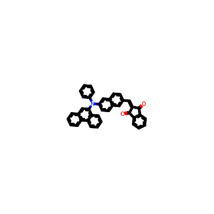 O=C1C(=Cc2ccc3cc(N(c4ccccc4)c4cc5ccccc5c5ccccc45)ccc3c2)C(=O)c2ccccc21